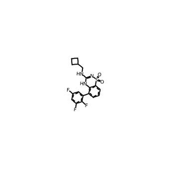 O=S1(=O)N=C(NCC2CCC2)Nc2c(-c3cc(F)cc(F)c3F)cccc21